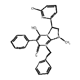 CN1CC(c2cccc(Cl)n2)n2c(O)c(-c3ccccc3)c(=O)[n+](Cc3ccccc3)c21